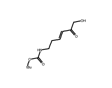 CC(C)(C)OC(=O)NCCC=CC(=O)CO